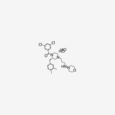 Cc1ccc(C[C@@H]2CN(CCCNN3CCOCC3)CCN2C(=O)c2cc(Cl)cc(Cl)c2)cc1C.Cl.Cl